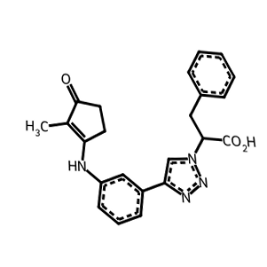 CC1=C(Nc2cccc(-c3cn(C(Cc4ccccc4)C(=O)O)nn3)c2)CCC1=O